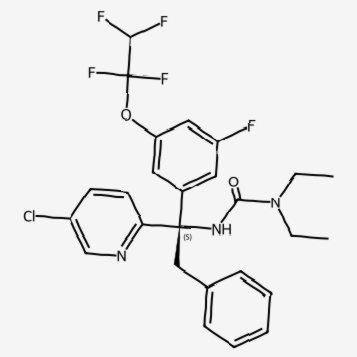 CCN(CC)C(=O)N[C@@](Cc1ccccc1)(c1cc(F)cc(OC(F)(F)C(F)F)c1)c1ccc(Cl)cn1